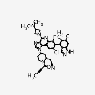 CC#CC(=O)N1CC[C@H](n2cnc3c(N4CC(N(C)C)C4)nc4c(F)c(-c5c(C)c(Cl)cc6[nH]ncc56)c(Cl)cc4c32)C[C@H]1CC#N